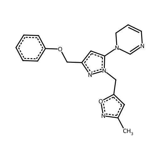 Cc1cc(Cn2nc(COc3ccccc3)cc2N2C=NC=CC2)on1